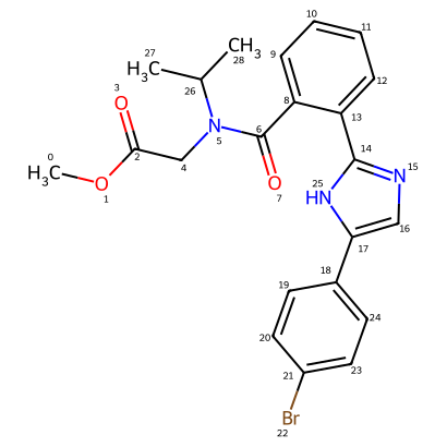 COC(=O)CN(C(=O)c1ccccc1-c1ncc(-c2ccc(Br)cc2)[nH]1)C(C)C